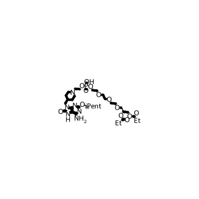 CCC[C@H](C)Oc1nc(N)c2[nH]c(=O)n(CC3CCN(CCOP(=O)(O)OCCOCCOCCOC[C@@H](COC(=O)CC)OC(=O)CC)CC3)c2n1